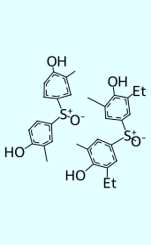 CCc1cc([S+]([O-])c2cc(C)c(O)c(CC)c2)cc(C)c1O.Cc1cc([S+]([O-])c2ccc(O)c(C)c2)ccc1O